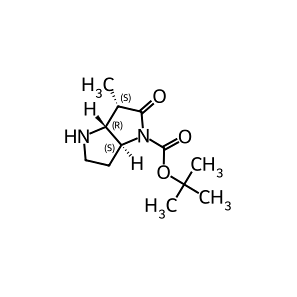 C[C@@H]1C(=O)N(C(=O)OC(C)(C)C)[C@H]2CCN[C@H]12